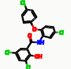 O=C(Nc1cc(Cl)ccc1Oc1ccc(Cl)cc1)c1cc(Cl)cc(Cl)c1O